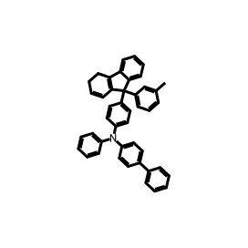 Cc1cccc(C2(c3ccc(N(c4ccccc4)c4ccc(-c5ccccc5)cc4)cc3)C3=C(CCC=C3)c3ccccc32)c1